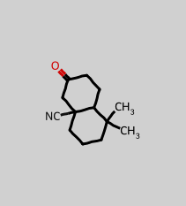 CC1(C)CCCC2(C#N)CC(=O)CCC12